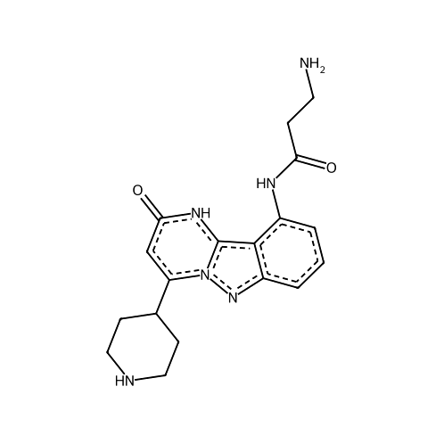 NCCC(=O)Nc1cccc2nn3c(C4CCNCC4)cc(=O)[nH]c3c12